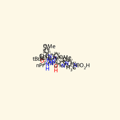 CCCC(CO[Si](C)(C)C(C)(C)C)Nc1nc(N(Cc2ccc(OC)cc2)Cc2ccc(OC)cc2)c2ncc(C(O)c3cnc(N4CCC(CN(C)C(=O)O)CC4)c(C)c3)n2n1